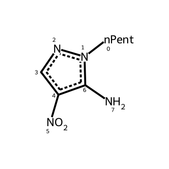 CCCCCn1ncc([N+](=O)[O-])c1N